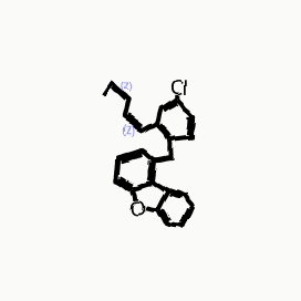 C/C=C\C=C/c1cc(Cl)ccc1Cc1cccc2oc3ccccc3c12